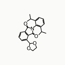 CC(C)c1cccc(C(C)C)c1N1C(=O)c2cccc(C3OCCO3)c2C1=O